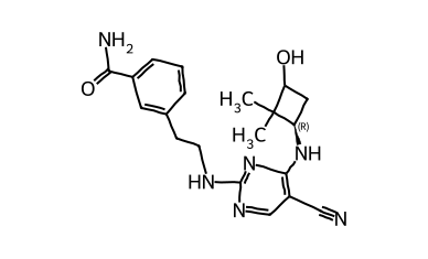 CC1(C)C(O)C[C@H]1Nc1nc(NCCc2cccc(C(N)=O)c2)ncc1C#N